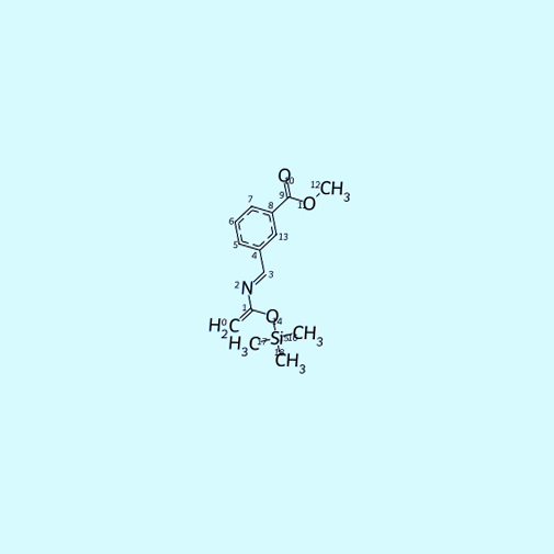 C=C(/N=C/c1cccc(C(=O)OC)c1)O[Si](C)(C)C